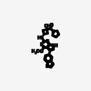 COc1nc(N[C@H]2C[C@](C)(C(=O)N3CCCC3)C2)nc2[nH]cc(-c3ccc4nccn4c3)c12